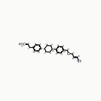 C=CCc1ccc([C@H]2CC[C@H](c3ccc(COC/C=C/CC)cc3)CC2)cc1